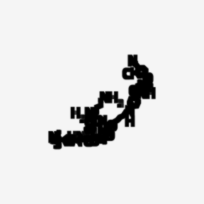 Cc1ncsc1-c1ccc([C@H](C)NC(=O)[C@@H]2C[C@@H](OC(=O)[C@@H](N)CCCCN)CN2C(=O)[C@@H](NC(=O)COCCCCCNc2ccc(C(=O)N[C@H]3C(C)(C)[C@H](Oc4ccc(C#N)c(Cl)c4)C3(C)C)cc2)C(C)(C)C)cc1